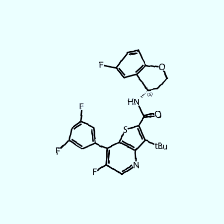 CC(C)(C)c1c(C(=O)N[C@H]2CCOc3ccc(F)cc32)sc2c(-c3cc(F)cc(F)c3)c(F)cnc12